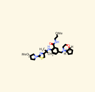 COCCNC(=O)c1cc(CN2CCO[C@@H]3CCC[C@@H]32)ccc1NC(C)(C)C1CSC(N2CC[C@H](OC)C2)=N1